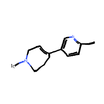 CC(=O)N1CC=C(c2ccc(C)nc2)CC1